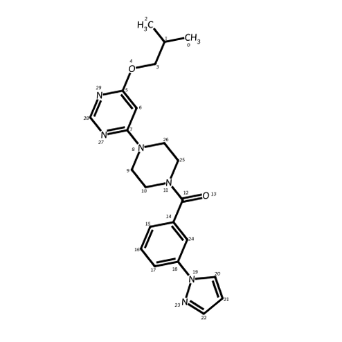 CC(C)COc1cc(N2CCN(C(=O)c3cccc(-n4cccn4)c3)CC2)ncn1